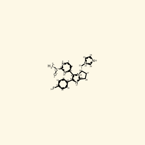 C[S+]([O-])c1nccc(-c2c(-c3ccc(F)cc3)nc3n2[C@H](Cn2ccnc2)CC3)n1